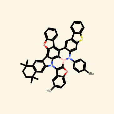 CC(C)(C)c1ccc(N2B3c4oc5ccc(C(C)(C)C)cc5c4-n4c5cc6c(cc5c5c7oc8ccccc8c7c(c3c54)-c3cc4c(cc32)sc2ccccc24)C(C)(C)CCC6(C)C)cc1